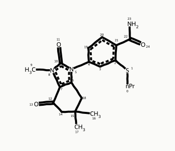 CCCSc1cc(-n2c3c(n(C)c2=O)C(=O)CC(C)(C)C3)ccc1C(N)=O